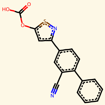 N#Cc1cc(-c2cc(OC(=O)O)sn2)ccc1-c1ccccc1